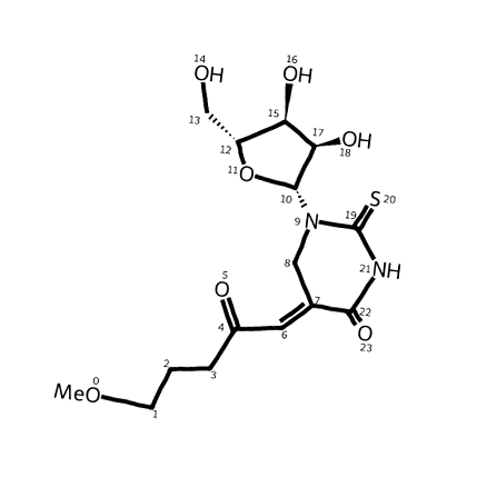 COCCCC(=O)C=C1CN([C@@H]2O[C@H](CO)[C@@H](O)[C@H]2O)C(=S)NC1=O